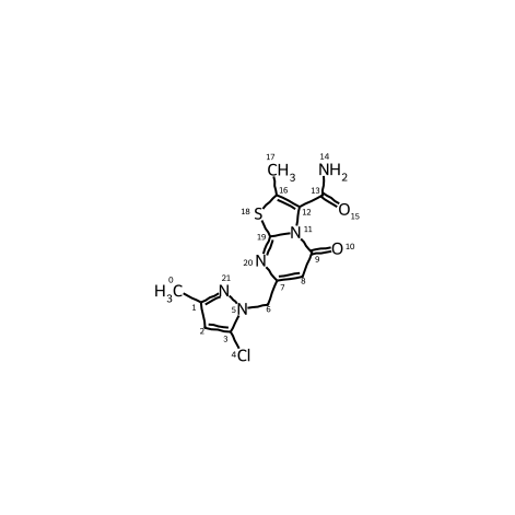 Cc1cc(Cl)n(Cc2cc(=O)n3c(C(N)=O)c(C)sc3n2)n1